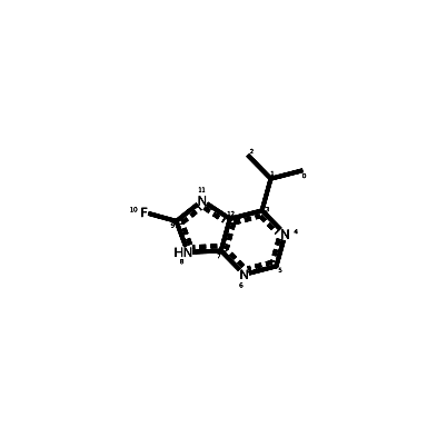 CC(C)c1ncnc2[nH]c(F)nc12